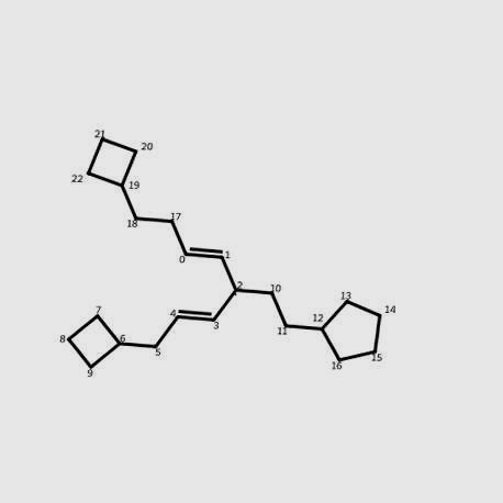 C(=C[C](C=CCC1CCC1)CCC1CCCC1)CCC1CCC1